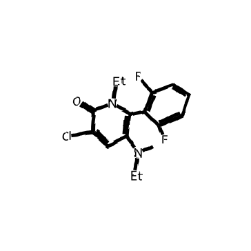 CCN(C)c1cc(Cl)c(=O)n(CC)c1-c1c(F)cccc1F